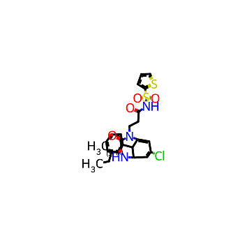 CC[C@H](C)[C@H]1NC2C=C(Cl)C=C(C2c2ccccc2)N(CCC(=O)NS(=O)(=O)c2cccs2)C1=O